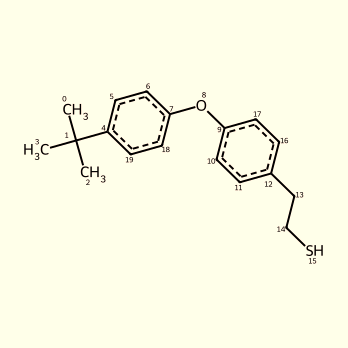 CC(C)(C)c1ccc(Oc2ccc(CCS)cc2)cc1